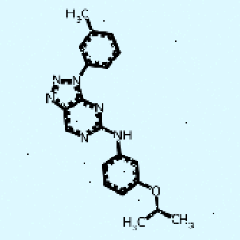 Cc1cccc(-n2nnc3cnc(Nc4cccc(OC(C)C)c4)nc32)c1